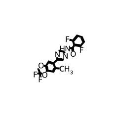 Cc1cc2c(cc1-c1cnc(NC(=O)c3c(F)cccc3F)cn1)OCC(F)(F)O2